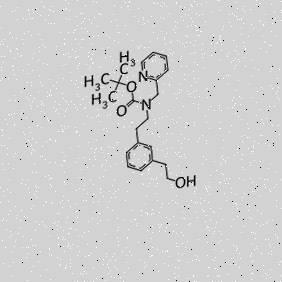 CC(C)(C)OC(=O)N(CCc1cccc(CCO)c1)Cc1ccccn1